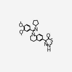 COc1ccc(C(=NC2CCCC2)N2CCCc3cc(C4=NNCSC4=O)ccc32)cc1OC